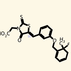 CC1(F)CC=CC=C1COc1cccc(/C=C2\SC(=S)N(CC(=O)O)C2=O)c1